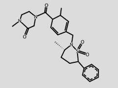 CC1C=C(CN2[C@@H](C)CCC(c3ccccc3)S2(=O)=O)C=CC1C(=O)N1CCN(C)C(=O)C1